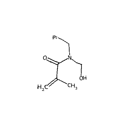 C=C(C)C(=O)N(CO)CC(C)C